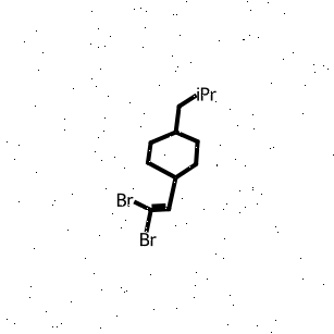 CC(C)CC1CCC(C=C(Br)Br)CC1